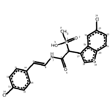 CP(=O)(O)C(C(=O)NC=Cc1ccc(Cl)cc1)c1csc2ccc(Cl)cc12